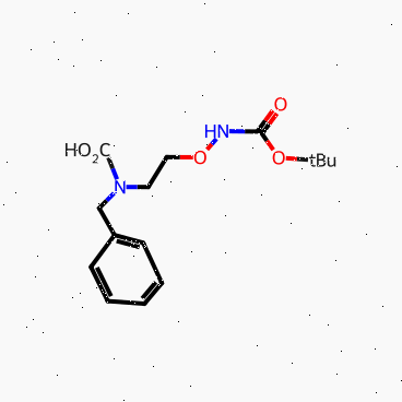 CC(C)(C)OC(=O)NOCCN(Cc1ccccc1)C(=O)O